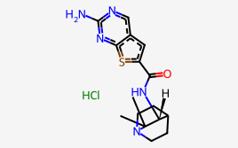 CC1(C)[C@H](NC(=O)c2cc3cnc(N)nc3s2)C2CCN1CC2.Cl